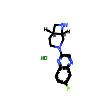 Cl.Fc1ccc2nc(N3CC[C@@H]4CN[C@@H]4C3)cnc2c1